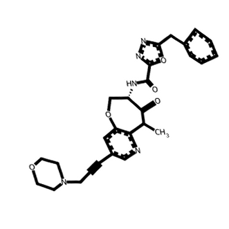 CC1C(=O)[C@@H](NC(=O)c2nnc(Cc3ccccc3)o2)COc2cc(C#CCN3CCOCC3)cnc21